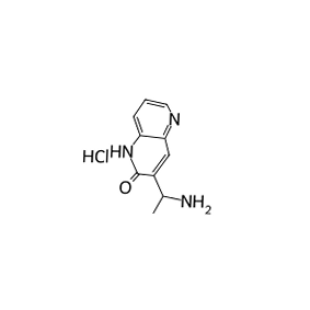 CC(N)c1cc2ncccc2[nH]c1=O.Cl